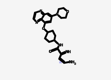 N=C(/C=C\N)C(=O)NC1CCC(Oc2cc(N3CCOCC3)cc3nccnc23)CC1